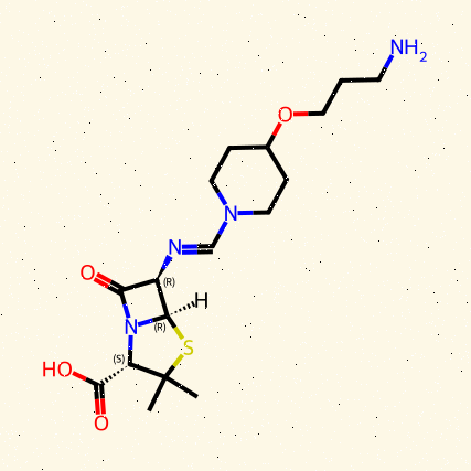 CC1(C)S[C@@H]2[C@H](N=CN3CCC(OCCCN)CC3)C(=O)N2[C@H]1C(=O)O